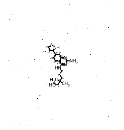 CC(C)(CO)CCCNc1nc(N)nc2cc(-c3ccn[nH]3)ccc12